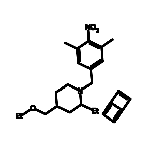 CCOCC1CCN(Cc2cc(C)c([N+](=O)[O-])c(C)c2)C(CC)C1.c1cc2ccc1-2